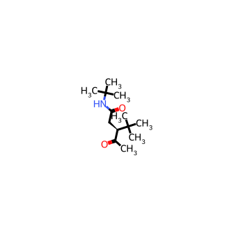 CC(=O)[C@@H](CC(=O)NC(C)(C)C)C(C)(C)C